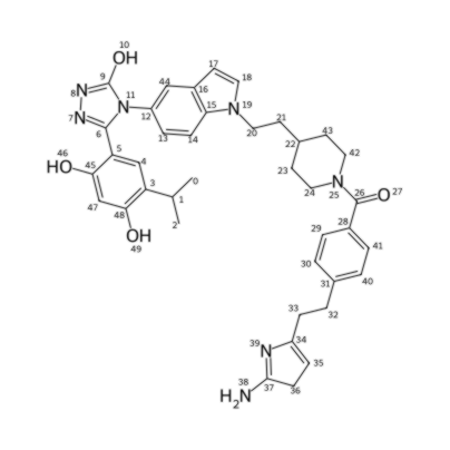 CC(C)c1cc(-c2nnc(O)n2-c2ccc3c(ccn3CCC3CCN(C(=O)c4ccc(CCC5=CCC(N)=N5)cc4)CC3)c2)c(O)cc1O